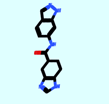 O=C(Nc1ccc2cn[nH]c2c1)C1CCc2[nH]cnc2C1